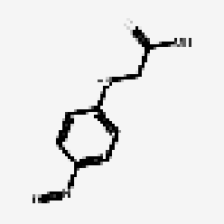 O=Nc1ccc(NCC(=O)O)cc1